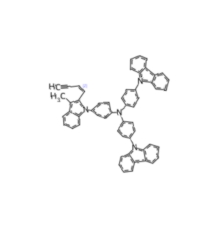 C#C/C=C\c1c(C)c2ccccc2n1-c1ccc(N(c2ccc(-n3c4ccccc4c4ccccc43)cc2)c2ccc(-n3c4ccccc4c4ccccc43)cc2)cc1